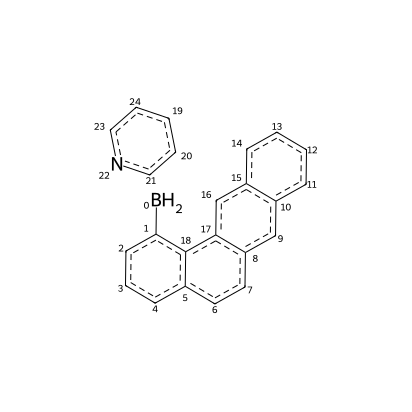 Bc1cccc2ccc3cc4ccccc4cc3c12.c1ccncc1